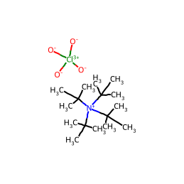 CC(C)(C)[N+](C(C)(C)C)(C(C)(C)C)C(C)(C)C.[O-][Cl+3]([O-])([O-])[O-]